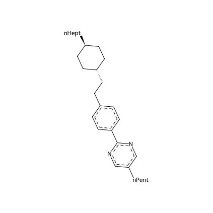 CCCCCCC[C@H]1CC[C@H](CCc2ccc(-c3ncc(CCCCC)cn3)cc2)CC1